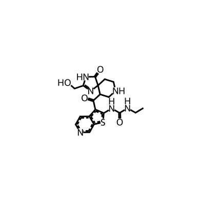 CCNC(=O)Nc1sc2cnccc2c1C(=O)C1CNCCC12N=C(CO)NC2=O